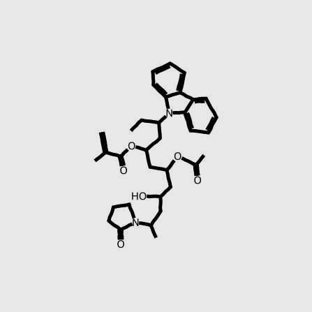 C=C(C)C(=O)OC(CC(CC(O)CC(C)N1CCCC1=O)OC(C)=O)CC(CC)n1c2ccccc2c2ccccc21